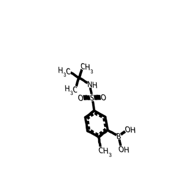 Cc1ccc(S(=O)(=O)NC(C)(C)C)cc1B(O)O